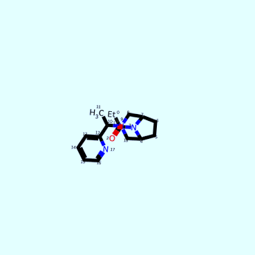 CCC(=O)N1C2CCC1CN(C(C)c1ccccn1)C2